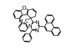 CC1(c2nc(-c3ccccc3)nc(-c3cc4ccccc4c4ccccc34)n2)CC=Cc2oc3cccc(-c4ccccc4)c3c21